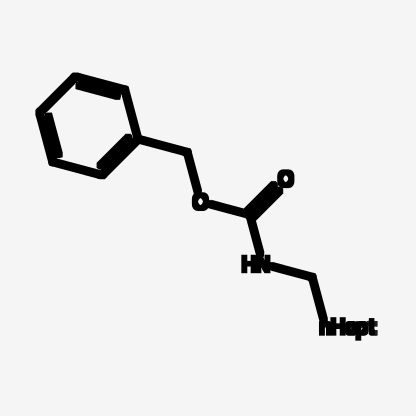 [CH2]CCCCCCCNC(=O)OCc1ccccc1